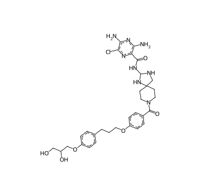 Nc1nc(N)c(C(=O)NC2NCC3(CCN(C(=O)c4ccc(OCCCc5ccc(OCC(O)CO)cc5)cc4)CC3)N2)nc1Cl